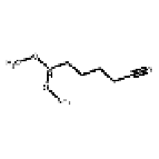 CO[SiH](CCCCC#N)OC